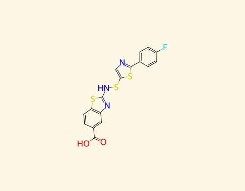 O=C(O)c1ccc2sc(NSc3cnc(-c4ccc(F)cc4)s3)nc2c1